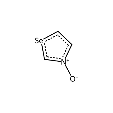 [O-][n+]1cc[se]c1